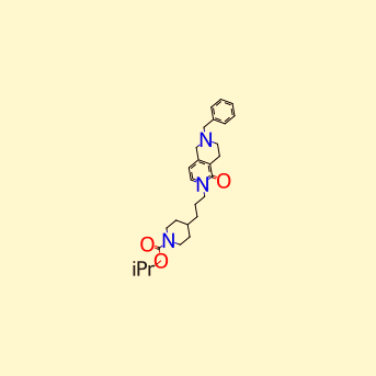 CC(C)OC(=O)N1CCC(CCCn2ccc3c(c2=O)CCN(Cc2ccccc2)C3)CC1